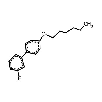 CCCCCCOc1ccc(-c2cccc(F)c2)cc1